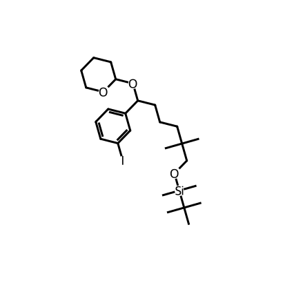 CC(C)(CCCC(OC1CCCCO1)c1cccc(I)c1)CO[Si](C)(C)C(C)(C)C